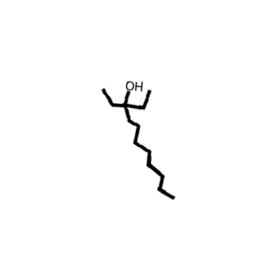 CCCCCCCCC(O)(CC)CC